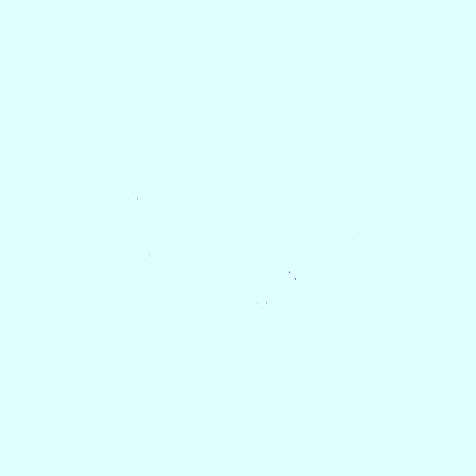 Clc1cccc(Cl)c1-c1noc(C2CCCC2)c1CC1OCO1